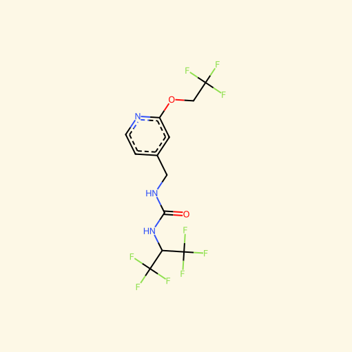 O=C(NCc1ccnc(OCC(F)(F)F)c1)NC(C(F)(F)F)C(F)(F)F